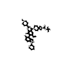 C=Cc1cc2c(N3CCC4(CC3)CN(C(=O)OC(C)(C)C)C4)nc(C3CCN(C)CC3)nc2c(F)c1-c1c(C)ccc2c1cnn2C1CCCCO1